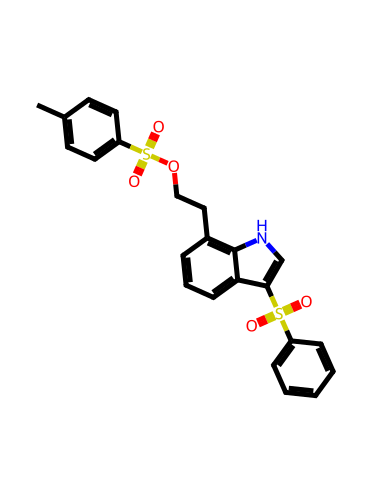 Cc1ccc(S(=O)(=O)OCCc2cccc3c(S(=O)(=O)c4ccccc4)c[nH]c23)cc1